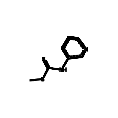 CSC(=S)Nc1cccnc1